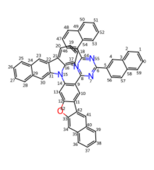 c1ccc2cc(-c3nc(-c4cc5c(cc4-n4c6ccccc6c6cc7ccccc7cc64)oc4cc6ccccc6cc45)nc(-c4cccc5ccccc45)n3)ccc2c1